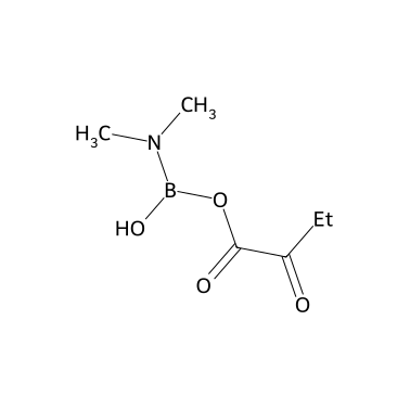 CCC(=O)C(=O)OB(O)N(C)C